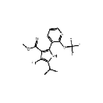 [2H]c1c(C(C)C)[nH]c(-c2cccnc2OC(F)(F)F)c1C(=O)OC